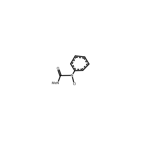 CNC(=O)N(Cl)c1cc[c]cc1